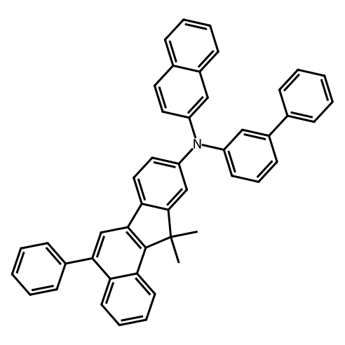 CC1(C)c2cc(N(c3cccc(-c4ccccc4)c3)c3ccc4ccccc4c3)ccc2-c2cc(-c3ccccc3)c3ccccc3c21